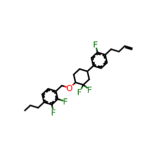 C=CCCc1ccc(C2CCC(OCc3ccc(CCC)c(F)c3F)C(F)(F)C2)cc1F